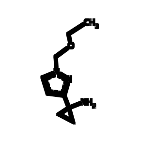 CCOCn1ccc(C2(N)CC2)n1